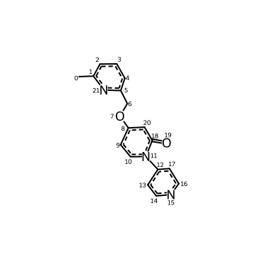 Cc1cccc(COc2ccn(-c3ccncc3)c(=O)c2)n1